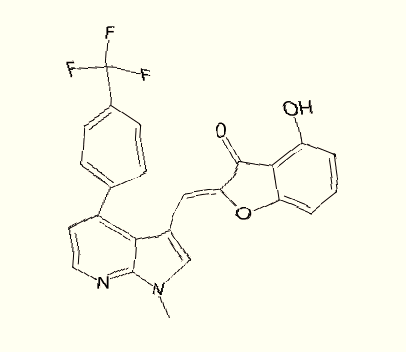 Cn1cc(/C=C2\Oc3cccc(O)c3C2=O)c2c(-c3ccc(C(F)(F)F)cc3)ccnc21